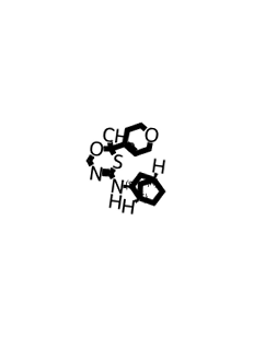 CC1(C2=CCOCC2)OCN=C(N[C@H]2C[C@@H]3CC[C@H]2C3)S1